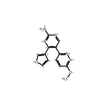 COc1ccc(-c2cnc(N)nc2-c2ccoc2)nn1